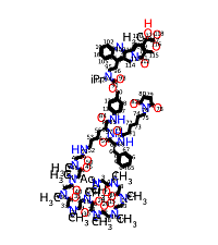 CC(=O)N(C)CC(=O)N(C)CC(=O)N(C)CC(=O)N(C)CC(=O)N(C)CC(=O)N(C)CC(=O)N(C)CC(=O)N(C)CC(=O)N(C)CC(=O)N(C)CC(=O)NCCCC[C@H](NC(=O)[C@H](Cc1ccccc1)NC(=O)CCCCCN1C(=O)C=CC1=O)C(=O)Nc1ccc(COC(=O)N(CCc2c3c(nc4ccccc24)-c2cc4c(c(=O)n2C3)COC(=O)[C@@]4(C)O)C(C)C)cc1